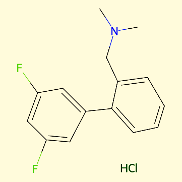 CN(C)Cc1ccccc1-c1cc(F)cc(F)c1.Cl